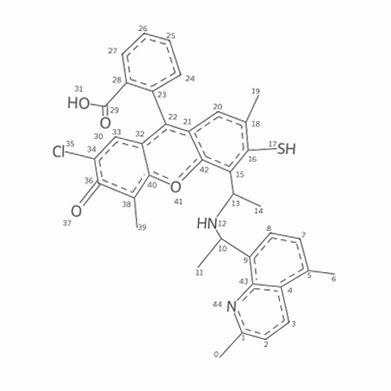 Cc1ccc2c(C)ccc(C(C)NC(C)c3c(S)c(C)cc4c(-c5ccccc5C(=O)O)c5cc(Cl)c(=O)c(C)c-5oc34)c2n1